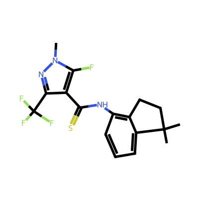 Cn1nc(C(F)(F)F)c(C(=S)Nc2cccc3c2CCC3(C)C)c1F